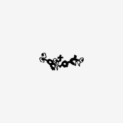 COC(=O)c1ccc2c(N(Cc3ccc(-c4cnc(OC)c(C)c4)cc3)C(=O)CC(C)(C)C)nccc2c1